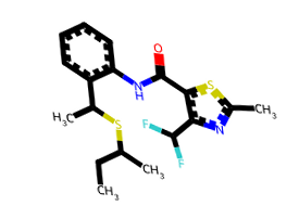 CCC(C)SC(C)c1ccccc1NC(=O)c1sc(C)nc1C(F)F